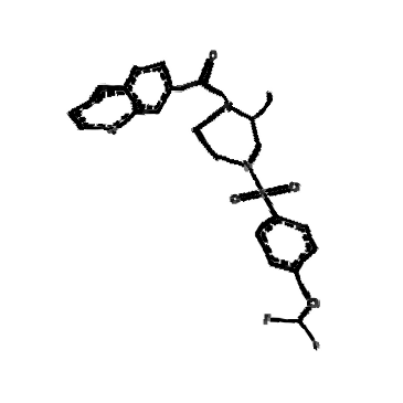 C[C@H]1CN(S(=O)(=O)c2ccc(OC(F)F)cc2)CCN1C(=O)c1ccc2cccnc2c1